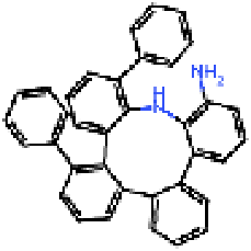 Nc1cccc2c1[nH]c1c(-c3ccccc3)cccc1c1c(-c3ccccc3)cccc1c1ccccc21